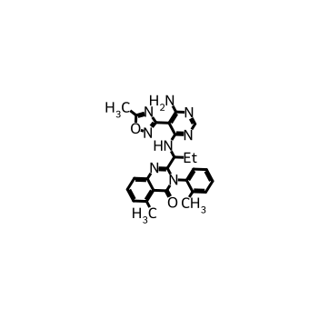 CCC(Nc1ncnc(N)c1-c1noc(C)n1)c1nc2cccc(C)c2c(=O)n1-c1ccccc1C